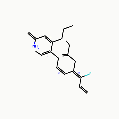 C=C/C(F)=C(\C=C/CC(=C/C)/C(=C\C(=C)N)CCC)CC(=C)CC